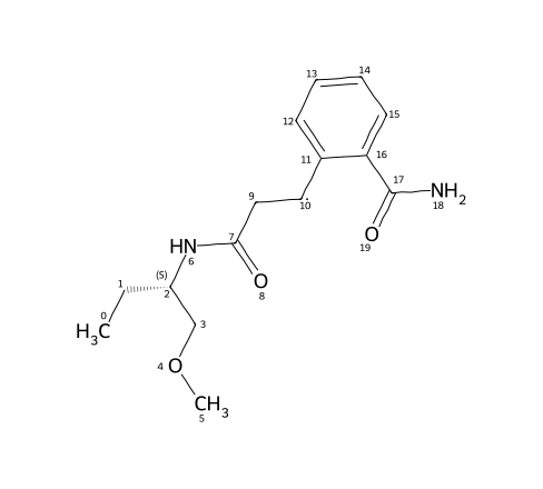 CC[C@@H](COC)NC(=O)C[CH]c1ccccc1C(N)=O